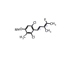 COc1cc(Cl)c(/C=C/C(C)=C(/C)F)c(Cl)c1C